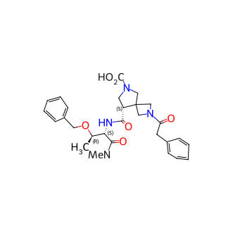 CNC(=O)[C@@H](NC(=O)[C@@H]1CN(C(=O)O)CC12CN(C(=O)Cc1ccccc1)C2)[C@@H](C)OCc1ccccc1